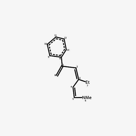 C=C(/C=C(\C=C/NC)CC)c1ccccc1